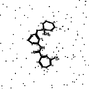 C[N+]1(Cc2cccc(NC(=O)C3=CC(C(F)(F)F)=CCC=C3)c2)CCCCC1